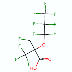 O=C(O)C(CF)(OC(F)(F)C(F)(F)C(F)(F)F)C(F)(F)F